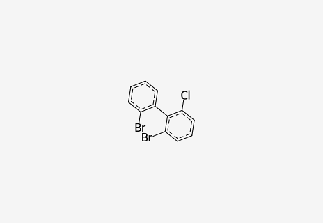 Clc1cccc(Br)c1-c1ccccc1Br